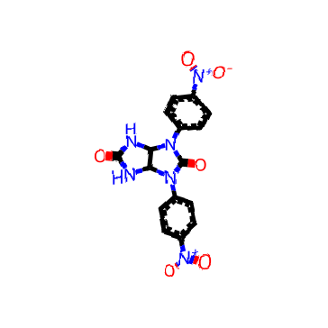 O=C1NC2C(N1)N(c1ccc([N+](=O)[O-])cc1)C(=O)N2c1ccc([N+](=O)[O-])cc1